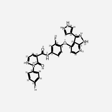 O=C(Nc1ccc(Oc2ccnc3[nH]nc(-c4cn[nH]c4)c23)c(F)c1)c1ccnn(-c2ccc(F)cc2)c1=O